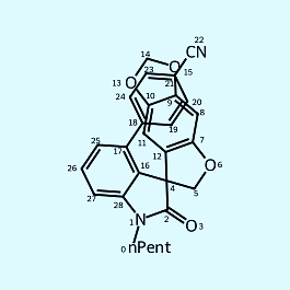 CCCCCN1C(=O)C2(COc3cc4c(cc32)OCO4)c2c(-c3ccc(C#N)cc3)cccc21